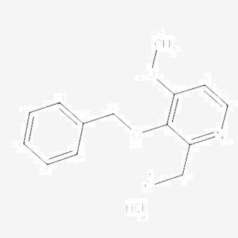 COc1ccnc(CCl)c1OCc1ccccc1.Cl